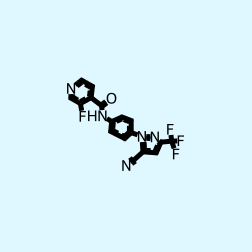 N#Cc1cc(C(F)(F)F)nn1-c1ccc(NC(=O)c2ccncc2F)cc1